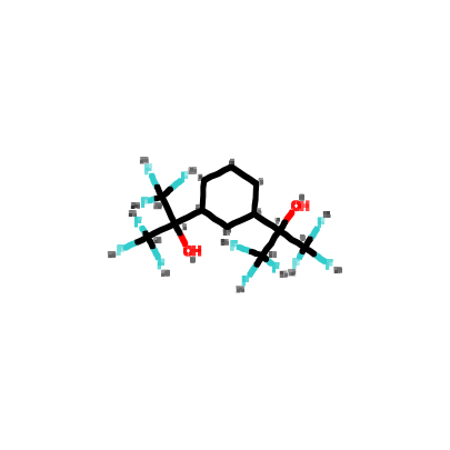 OC(C1C[CH]CC(C(O)(C(F)(F)F)C(F)(F)F)C1)(C(F)(F)F)C(F)(F)F